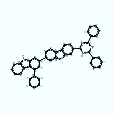 c1ccc(-c2nc(-c3ccccc3)nc(-c3ccc4c(c3)sc3cc(-c5cc(-c6ccccc6)c6c(c5)sc5ccccc56)ccc34)n2)cc1